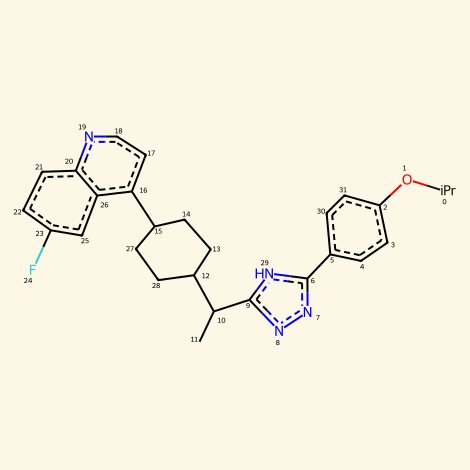 CC(C)Oc1ccc(-c2nnc(C(C)C3CCC(c4ccnc5ccc(F)cc45)CC3)[nH]2)cc1